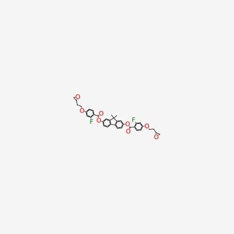 CC1(C)c2cc(OC(=O)c3ccc(OCCC4CO4)cc3F)ccc2-c2ccc(OC(=O)c3ccc(OCCC4CO4)cc3F)cc21